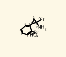 CCC1(N)CC1c1ccccc1Br.Cl